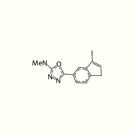 CNc1nnc(-c2ccc3c(c2)C(I)=CC3)o1